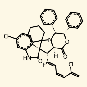 C=C(Cl)/C=C\C=C(/F)[C@H]1[C@@H]2C(=O)O[C@@H](c3ccccc3)[C@@H](c3ccccc3)N2C2(CCCCC2)[C@]12C(=O)Nc1cc(Cl)ccc12